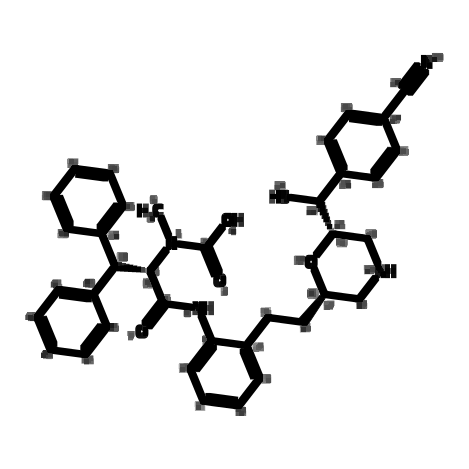 CN(C(=O)O)[C@H](C(=O)Nc1ccccc1CC[C@@H]1CNC[C@@H](C(S)c2ccc(C#N)cc2)O1)C(c1ccccc1)c1ccccc1